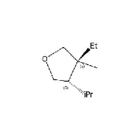 CC[C@]1(C)COC[C@H]1C(C)C